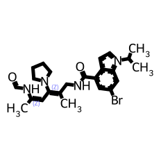 C/C(=C/C(=C(\C)CNC(=O)c1cc(Br)cc2c1ccn2C(C)C)N1CCCC1)NC=O